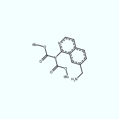 CC(C)(C)OC(=O)N(C(=O)OC(C)(C)C)c1nccc2ccc(CN)cc12